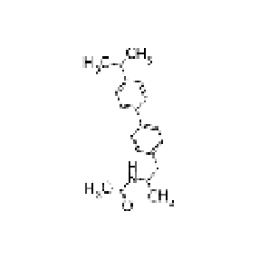 CC(=O)NC(C)Cc1ccc(-c2ccc(C(C)C)cc2)cc1